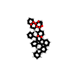 c1ccc(-c2cccc(-c3ccccc3N(c3ccccc3-c3ccc4c(c3)C3(c5ccccc5-4)c4ccccc4-n4c5ccccc5c5cccc3c54)c3cccc4ccccc34)c2)cc1